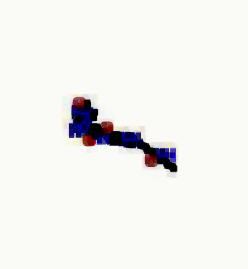 CCCCCNC(=O)CCCCCN1CCN(C2CCC(NC(=O)c3ccc(Nc4ncc5c(n4)N(C(C)C)[C@H](CC)C(=O)N5C)c(OC)c3)CC2)CC1